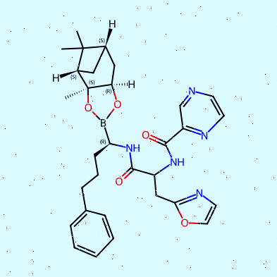 CC1(C)[C@@H]2C[C@H]3OB([C@H](CCCc4ccccc4)NC(=O)C(Cc4ncco4)NC(=O)c4cnccn4)O[C@@]3(C)[C@H]1C2